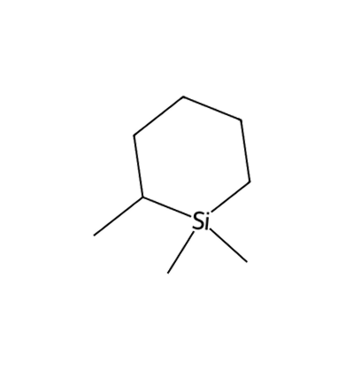 CC1CCCC[Si]1(C)C